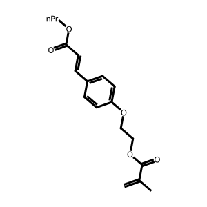 C=C(C)C(=O)OCCOc1ccc(/C=C/C(=O)OCCC)cc1